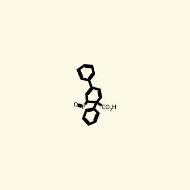 O=PC1C=C(c2ccccc2)C=CC1(C(=O)O)c1ccccc1